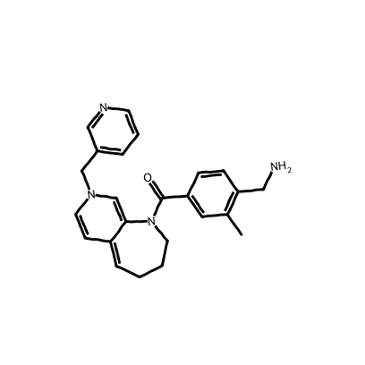 Cc1cc(C(=O)N2CCCC=C3C=CN(Cc4cccnc4)C=C32)ccc1CN